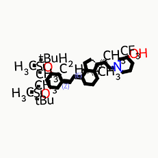 C=C1/C(=C\C=C2/CCC[C@]3(C)[C@@H]([C@H](C)CN4CCCC(O)(C(F)(F)F)C4)CC[C@@H]23)CC(O[Si](C)(C)C(C)(C)C)CC1O[Si](C)(C)C(C)(C)C